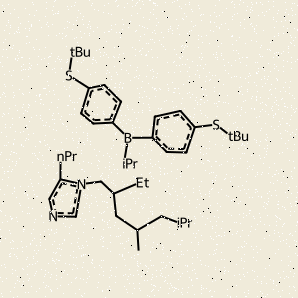 CC(C)B(c1ccc(SC(C)(C)C)cc1)c1ccc(SC(C)(C)C)cc1.CCCc1cncn1CC(CC)CC(C)CC(C)C